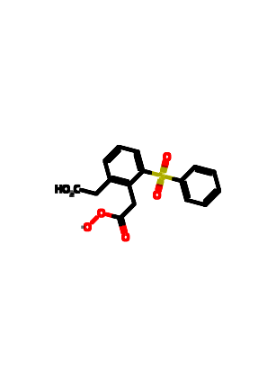 [O]OC(=O)Cc1c(CC(=O)O)cccc1S(=O)(=O)c1ccccc1